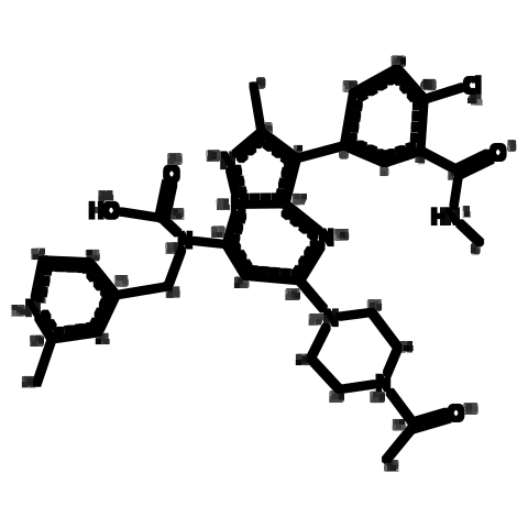 CNC(=O)c1cc(-c2c(C)nn3c(N(Cc4ccnc(C)c4)C(=O)O)cc(N4CCN(C(C)=O)CC4)nc23)ccc1Cl